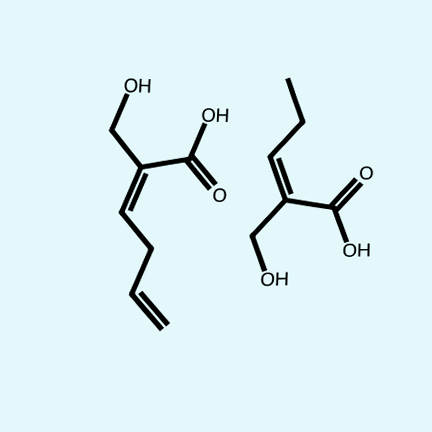 C=CCC=C(CO)C(=O)O.CCC=C(CO)C(=O)O